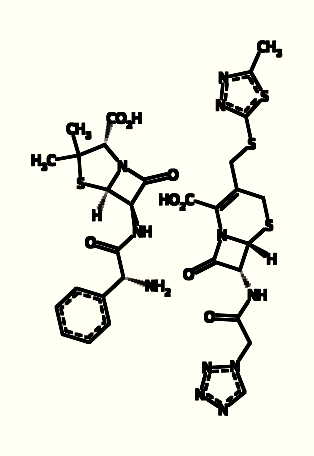 CC1(C)S[C@@H]2[C@H](NC(=O)[C@H](N)c3ccccc3)C(=O)N2[C@H]1C(=O)O.Cc1nnc(SCC2=C(C(=O)O)N3C(=O)[C@@H](NC(=O)Cn4cnnn4)[C@H]3SC2)s1